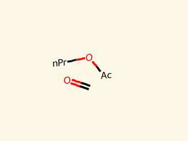 C=O.CCCOC(C)=O